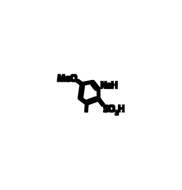 COc1ccc(S(=O)(=O)O)c(C)c1.[NaH]